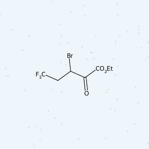 CCOC(=O)C(=O)C(Br)CC(F)(F)F